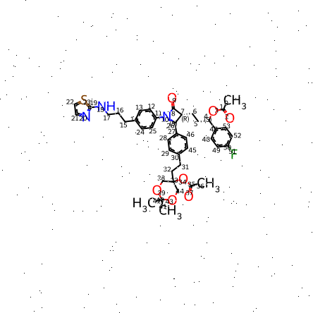 CC(=O)O[C@@H](CC[C@H]1C(=O)N(c2ccc(CCCNc3nccs3)cc2)[C@@H]1c1ccc(CCC2(OC(C)=O)COC(C)(C)OC2)cc1)c1ccc(F)cc1